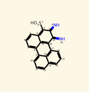 N=c1c(S(=O)(=O)O)c2cccc3c4cccc5cccc(c(c1=N)c23)c54